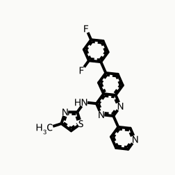 Cc1csc(Nc2nc(-c3cccnc3)nc3ccc(-c4ccc(F)cc4F)cc23)n1